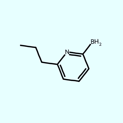 Bc1cccc(CCC)n1